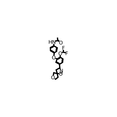 CC(=O)Nc1ccc(Oc2cc(C3=NOC4(CCOC4)C3)ccc2OC(F)F)cc1